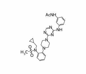 CC(=O)Nc1cccc(Nc2ncnc(N3CCN(c4ccccc4N(CC4CC4)S(C)(=O)=O)CC3)n2)c1